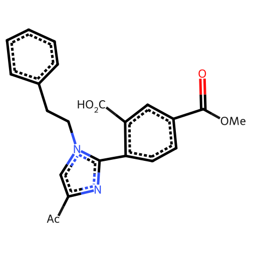 COC(=O)c1ccc(-c2nc(C(C)=O)cn2CCc2ccccc2)c(C(=O)O)c1